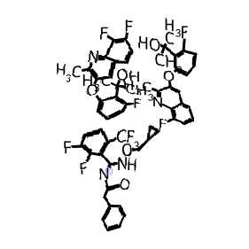 Cc1nc2c(F)c(F)ccc2cc1Oc1cccc(F)c1C(C)(C)O.Cc1nc2c(F)cccc2cc1Oc1cccc(F)c1C(C)(C)O.O=C(Cc1ccccc1)/N=C(\NOCC1CC1)c1c(C(F)(F)F)ccc(F)c1F